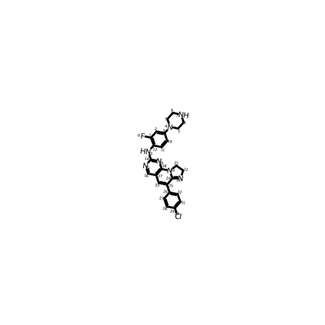 Fc1cc(N2CCNCC2)ccc1Nc1ncc2c(n1)N1CCN=C1C(c1ccc(Cl)cc1)=C2